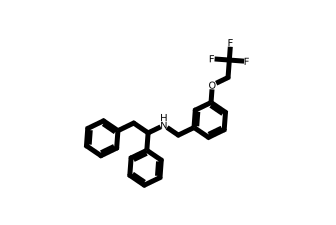 FC(F)(F)COc1cccc(CNC(Cc2ccccc2)c2ccccc2)c1